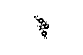 C=CC(=O)Nc1cc(CN(C)C)ccc1Nc1cc(Oc2ccc(Cl)cc2)ccn1